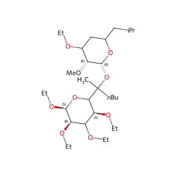 CCCCC(C)(O[C@H]1OC(CC(C)C)CC(OCC)[C@H]1OC)C1O[C@H](OCC)[C@H](OCC)C(OCC)[C@@H]1OCC